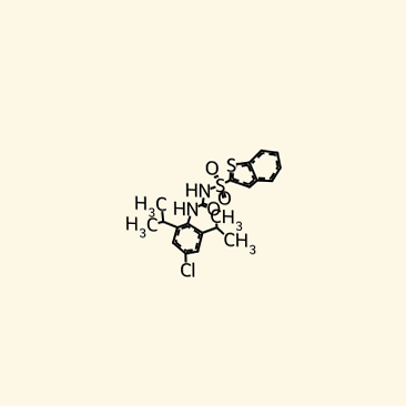 CC(C)c1cc(Cl)cc(C(C)C)c1NC(=O)NS(=O)(=O)c1cc2ccccc2s1